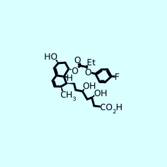 CCC(Oc1ccc(F)cc1)C(=O)O[C@H]1C[C@H](O)C=C2C=C[C@H](C)[C@H](CC[C@@H](O)C[C@@H](O)CC(=O)O)[C@H]21